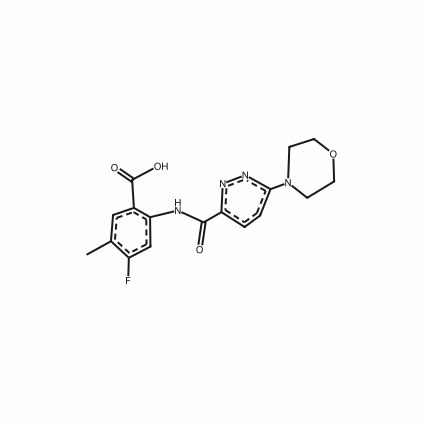 Cc1cc(C(=O)O)c(NC(=O)c2ccc(N3CCOCC3)nn2)cc1F